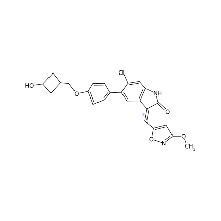 COc1cc(/C=C2\C(=O)Nc3cc(Cl)c(-c4ccc(OCC5CC(O)C5)cc4)cc32)on1